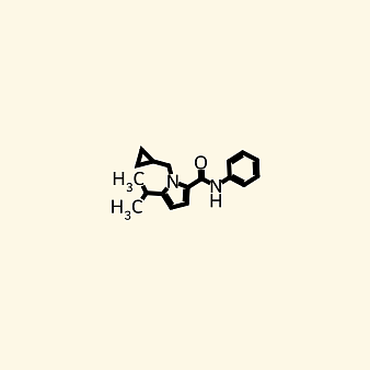 CC(C)c1ccc(C(=O)Nc2ccccc2)n1CC1CC1